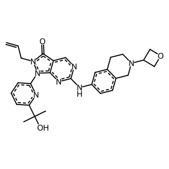 C=CCn1c(=O)c2cnc(Nc3ccc4c(c3)CCN(C3COC3)C4)nc2n1-c1cccc(C(C)(C)O)n1